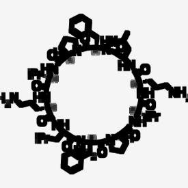 CC(C)CC1NC(=O)[C@H](CCCN)NC(=O)[C@H](C(C)C)NC(=O)[C@@H]2CCCN2C(=O)[C@@H](Cc2ccccc2)N2NC(C)CC(NC(=O)[C@H](CCCN)NC(=O)[C@H](C(C)C)NC(=O)[C@@H]3CCCN3C(=O)[C@@H](Cc3ccccc3)N(N)C1=O)C2=O